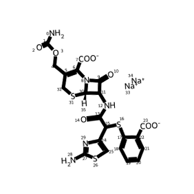 NC(=O)OCC1=C(C(=O)[O-])N2C(=O)C(NC(=O)C(Sc3ccccc3C(=O)[O-])c3csc(N)n3)[C@@H]2SC1.[Na+].[Na+]